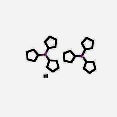 C1CCC(P(C2CCCC2)C2CCCC2)C1.C1CCC(P(C2CCCC2)C2CCCC2)C1.[Pd]